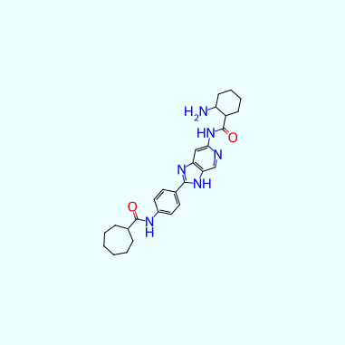 NC1CCCCC1C(=O)Nc1cc2nc(-c3ccc(NC(=O)C4CCCCCC4)cc3)[nH]c2cn1